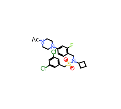 CC(=O)N1CCN(c2ccc(CN(C3CCC3)S(=O)(=O)Cc3cc(Cl)cc(Cl)c3)c(F)c2)CC1